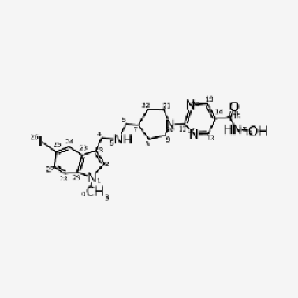 Cn1cc(CNCC2CCN(c3ncc(C(=O)NO)cn3)CC2)c2cc(I)ccc21